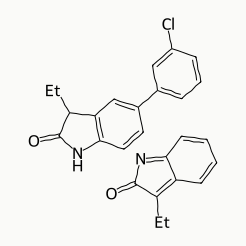 CCC1=c2ccccc2=NC1=O.CCC1C(=O)Nc2ccc(-c3cccc(Cl)c3)cc21